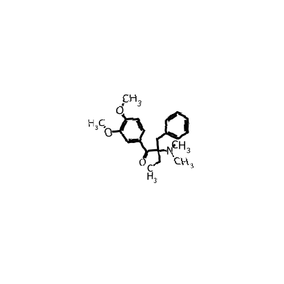 CCC(Cc1ccccc1)(C(=O)c1ccc(OC)c(OC)c1)N(C)C